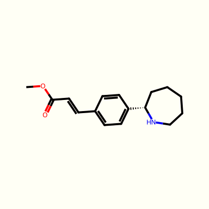 COC(=O)/C=C/c1ccc([C@@H]2CCCCCN2)cc1